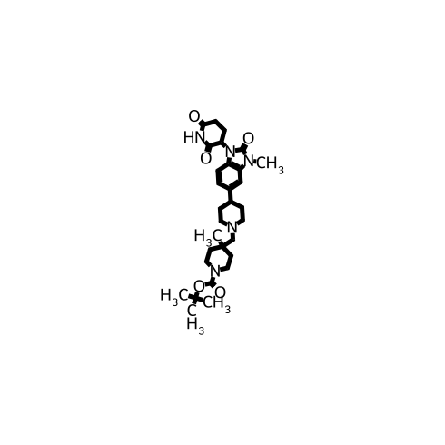 Cn1c(=O)n(C2CCC(=O)NC2=O)c2ccc(C3CCN(CC4(C)CCN(C(=O)OC(C)(C)C)CC4)CC3)cc21